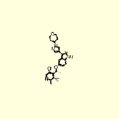 Cc1ncc(Cl)c([C@@H](C)Oc2ccc3[nH]nc(-c4cnn(C5CCOCC5)c4)c3c2)c1Cl